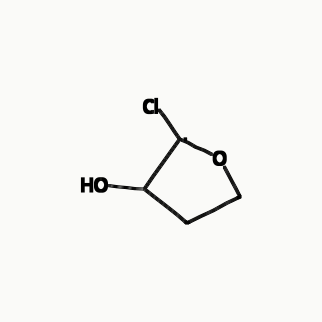 OC1CCO[C]1Cl